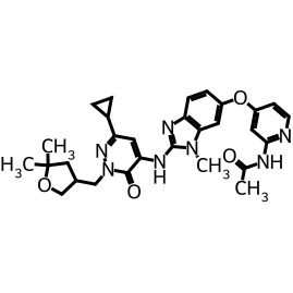 CC(=O)Nc1cc(Oc2ccc3nc(Nc4cc(C5CC5)nn(CC5COC(C)(C)C5)c4=O)n(C)c3c2)ccn1